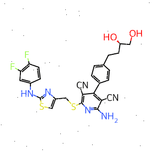 N#Cc1c(N)nc(SCc2csc(Nc3ccc(F)c(F)c3)n2)c(C#N)c1-c1ccc(CC[C@@H](O)CO)cc1